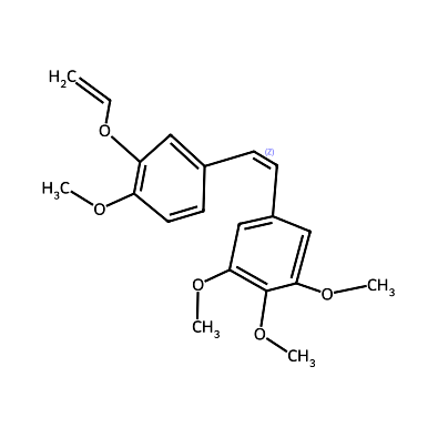 C=COc1cc(/C=C\c2cc(OC)c(OC)c(OC)c2)ccc1OC